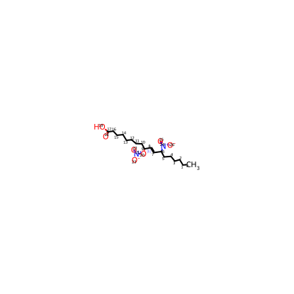 CCCCCCC(/C=C/C(CCCCCCCC(=O)O)O[N+](=O)[O-])[N+](=O)[O-]